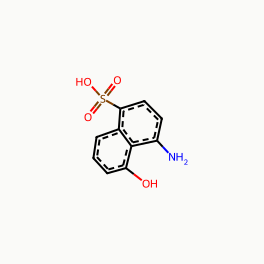 Nc1ccc(S(=O)(=O)O)c2cccc(O)c12